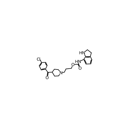 O=C(Nc1cccc2c1NCC2)OCCCN1CCC(C(=O)c2ccc(Cl)cc2)CC1